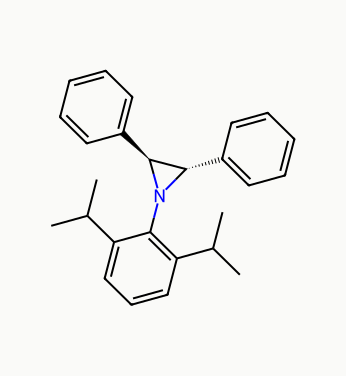 CC(C)c1cccc(C(C)C)c1N1[C@@H](c2ccccc2)[C@@H]1c1ccccc1